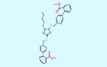 CCCCCc1nc(SCc2ccc(-c3ccccc3C(=O)OC)cc2)nn1SCc1ccc(-c2ccccc2C(=O)OC)cc1